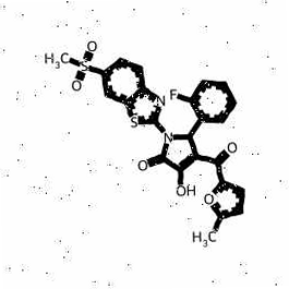 Cc1ccc(C(=O)C2=C(O)C(=O)N(c3nc4ccc(S(C)(=O)=O)cc4s3)C2c2ccccc2F)o1